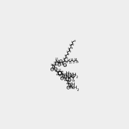 CCC=CCC=CCCCCCC(CCCCCCC)C(C=O)OC(=O)N(C)CCN(C)C(=O)OCc1ccc(NC(=O)[C@H](CCCNC(N)=O)NC(=O)[C@@H](N)C(C)C)cc1